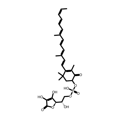 C\C=C/C=C/C=C(C)/C=C/C=C(C)/C=C/C1=C(C)C(=O)C(OP(=O)(O)OC[C@H](O)[C@H]2OC(=O)C(O)=C2O)CC1(C)C